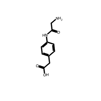 NCC(=O)Nc1ccc(CC(=O)O)cc1